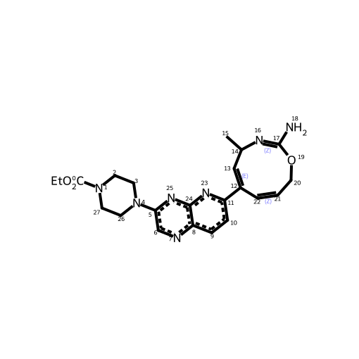 CCOC(=O)N1CCN(c2cnc3ccc(C4=C/C(C)/N=C(/N)OC/C=C\4)nc3n2)CC1